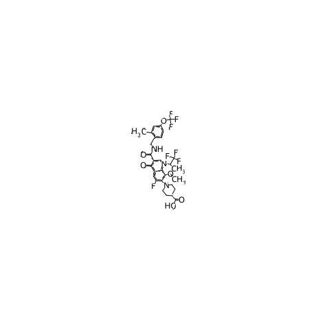 COc1c(N2CCC(C(=O)O)CC2)c(F)cc2c(=O)c(C(=O)NCc3ccc(OC(F)(F)F)cc3C)cn(C(C)C(F)(F)F)c12